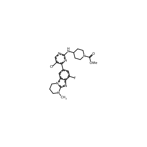 COC(=O)N1CCC(Nc2ncc(Cl)c(-c3cc(F)c4nc5n(c4c3)CCCN5C)n2)CC1